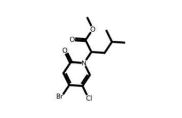 COC(=O)C(CC(C)C)n1cc(Cl)c(Br)cc1=O